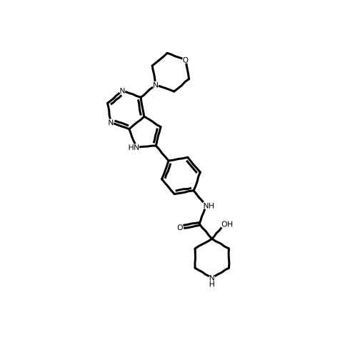 O=C(Nc1ccc(-c2cc3c(N4CCOCC4)ncnc3[nH]2)cc1)C1(O)CCNCC1